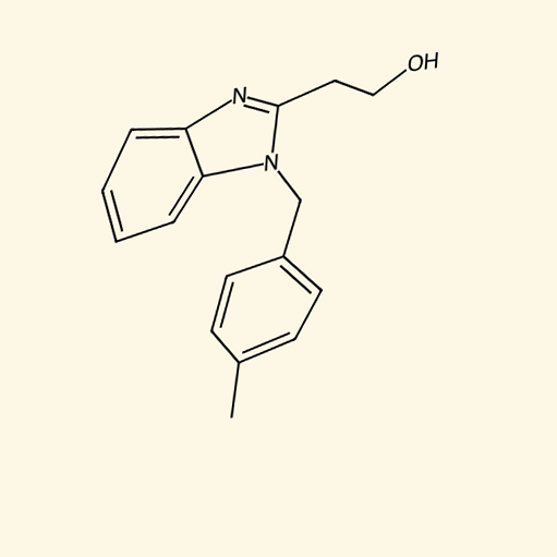 Cc1ccc(Cn2c(CCO)nc3ccccc32)cc1